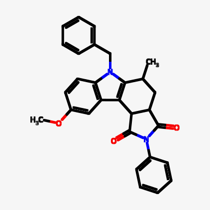 COc1ccc2c(c1)c1c(n2Cc2ccccc2)C(C)CC2C(=O)N(c3ccccc3)C(=O)C12